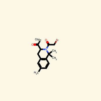 COC(=O)C1Cc2cc(C)ccc2C(C)(C)N1C(=O)CBr